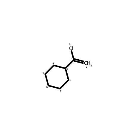 C=C(Cl)[C]1CCCCC1